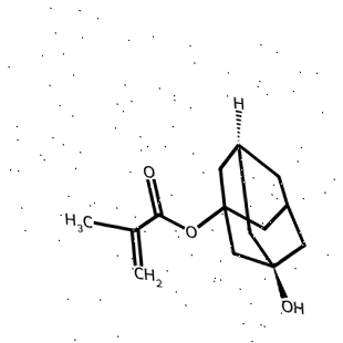 C=C(C)C(=O)OC12CC3C[C@H](C1)C[C@](O)(C3)C2